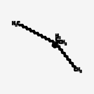 CCCCCCCCCCCCCCCCCCCN1C=CN(CCCCCCCCCCCCCC)C1C(C)C